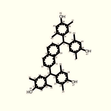 Cc1cc(C(c2ccc3ccc(C(c4cc(C)c(O)cc4C)c4cc(C)c(O)cc4C)cc3c2)c2cc(C)c(O)cc2C)c(C)cc1O